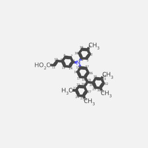 Cc1ccc(N(c2ccc(/C=C/C(=O)O)cc2)c2ccc(C(c3cc(C)cc(C)c3)c3cc(C)cc(C)c3)cc2)cc1